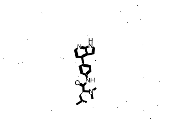 CC(C)C[C@H](C(=O)Nc1ccc(-c2ccnc3[nH]ccc23)cc1)N(C)C